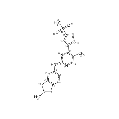 CN1Cc2ccc(Nc3ncc(C(F)(F)F)c(-c4cc(S(C)(=O)=O)cs4)n3)cc2C1